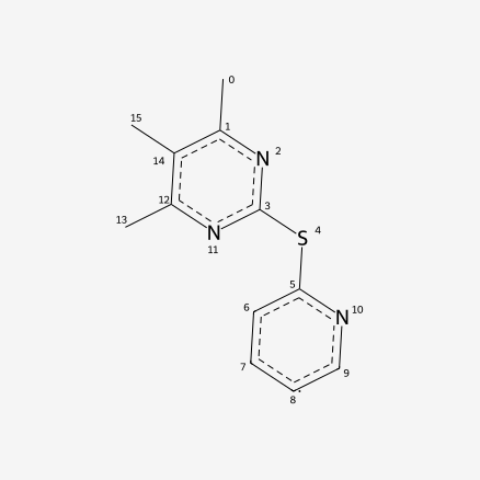 Cc1nc(Sc2cc[c]cn2)nc(C)c1C